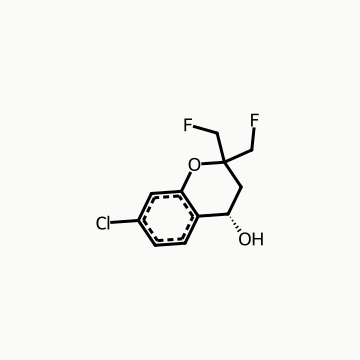 O[C@H]1CC(CF)(CF)Oc2cc(Cl)ccc21